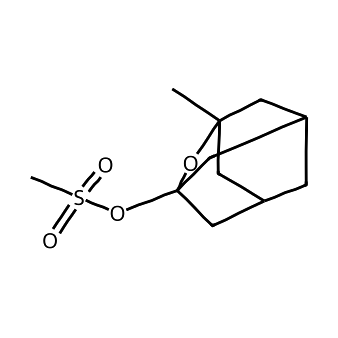 CC12CC3CC(C1)CC(OS(C)(=O)=O)(C3)O2